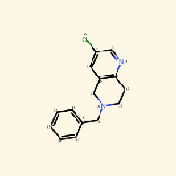 Clc1cnc2c(c1)CN(Cc1ccccc1)CC2